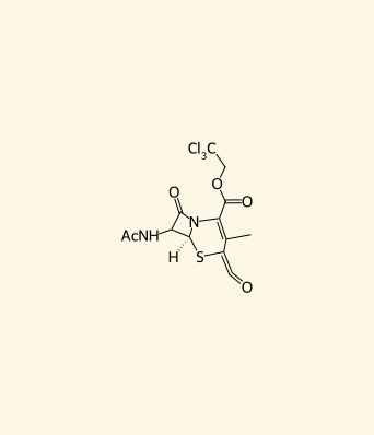 CC(=O)NC1C(=O)N2C(C(=O)OCC(Cl)(Cl)Cl)=C(C)C(=C=O)S[C@@H]12